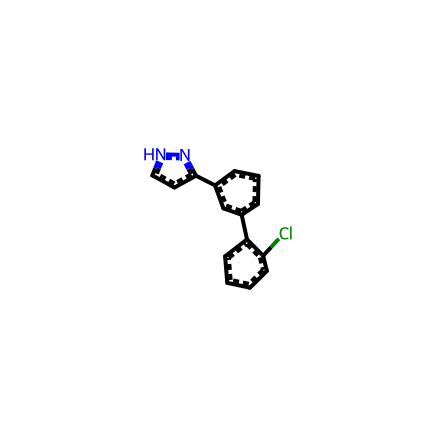 Clc1ccccc1-c1cccc(-c2cc[nH]n2)c1